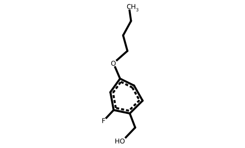 CCCCOc1ccc(CO)c(F)c1